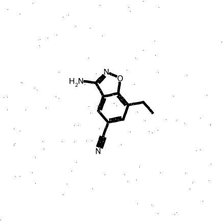 CCc1cc(C#N)cc2c(N)noc12